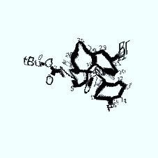 CC(C)(C)OC(=O)N1CCC2(S(=O)(=O)c3cccc(F)c3)c3ccc(Br)cc3CCC12